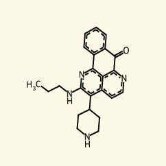 CCCNc1nc2c3c(nccc3c1C1CCNCC1)C(=O)c1ccccc1-2